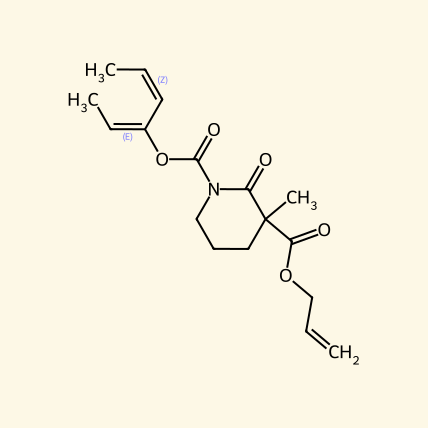 C=CCOC(=O)C1(C)CCCN(C(=O)OC(/C=C\C)=C/C)C1=O